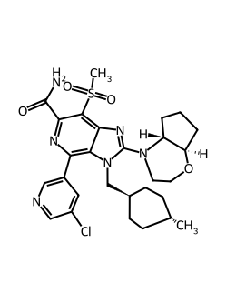 CS(=O)(=O)c1c(C(N)=O)nc(-c2cncc(Cl)c2)c2c1nc(N1CCO[C@@H]3CCC[C@H]31)n2C[C@H]1CC[C@H](C)CC1